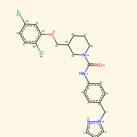 O=C(Nc1ccc(Cn2cccn2)cc1)N1CCCC(COc2cc(Cl)ccc2Cl)C1